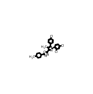 Cc1c(-c2nnc(C3CCC(C)CC3)o2)nn(-c2ccc(Cl)cc2Cl)c1-c1ccc(Cl)cc1